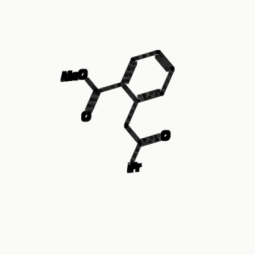 COC(=O)c1ccccc1CC(=O)C(C)C